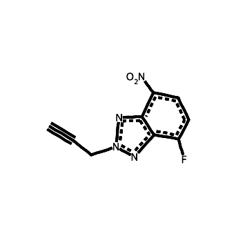 C#CCn1nc2c(F)ccc([N+](=O)[O-])c2n1